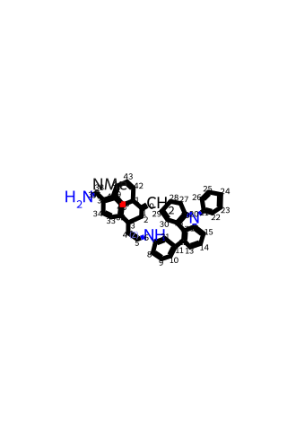 C=C(CC(/C=C\Nc1cccc(-c2cccc3c2c2c(n3-c3ccccc3)CCC=C2)c1)c1ccc(C(N)NC)cc1)C1C=CC=CC1